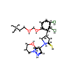 C[Si](C)(C)CCOCOc1ccc(Cl)c(Cl)c1[C@H]1CC(=S)N(c2cnn3c2OCCC3)C1